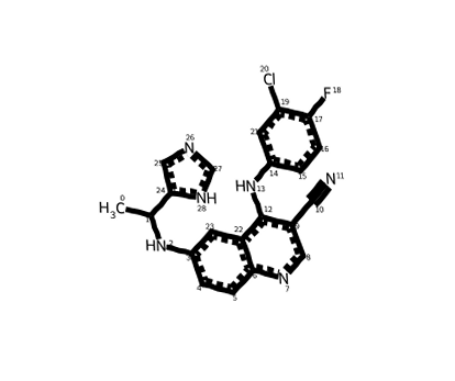 CC(Nc1ccc2ncc(C#N)c(Nc3ccc(F)c(Cl)c3)c2c1)c1cnc[nH]1